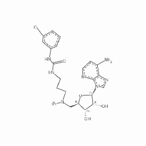 CC(C)N(CCCNC(=O)Nc1cccc(Cl)c1)C[C@H]1O[C@@H](n2cnc3c(N)ccnc32)[C@H](O)[C@@H]1O